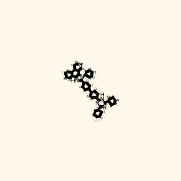 c1ccc(C2=NC(c3ccccc3)NC(c3ccc(-c4ccc(C5Nc6c(c7cnccc7c7ccccc67)N5c5ccccc5)cc4)cc3)=N2)cc1